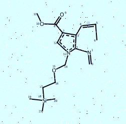 C=Nc1c(/C=C\C)c(C(=O)OC)cn1COCC[Si](C)(C)C